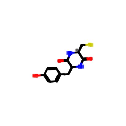 O=C1N[C@@H](CS)C(=O)NC1Cc1ccc(O)cc1